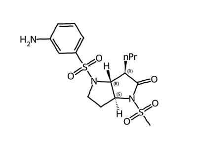 CCC[C@H]1C(=O)N(S(C)(=O)=O)[C@H]2CCN(S(=O)(=O)c3cccc(N)c3)[C@H]12